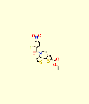 CCOC(=O)c1cc2c(s1)-c1sccc1N(C(=O)c1ccc([N+](=O)[O-])cc1F)CC2